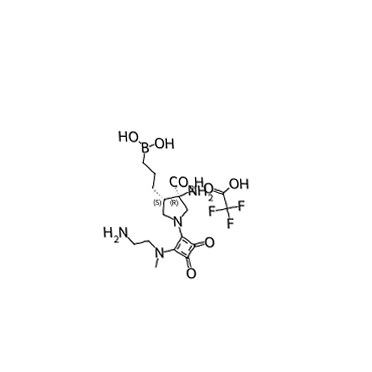 CN(CCN)c1c(N2C[C@H](CCCB(O)O)[C@](N)(C(=O)O)C2)c(=O)c1=O.O=C(O)C(F)(F)F